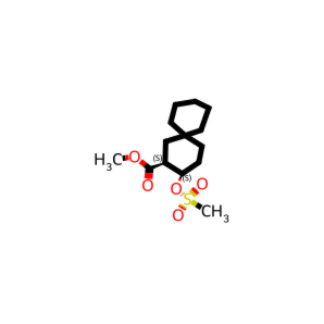 COC(=O)[C@H]1CC2(CCCCC2)CC[C@@H]1OS(C)(=O)=O